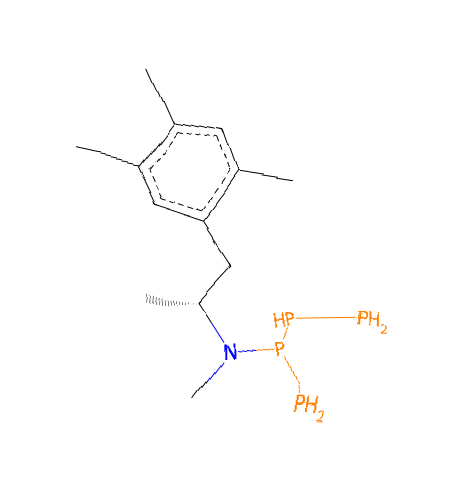 Cc1cc(C)c(C[C@@H](C)N(C)P(P)PP)cc1C